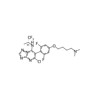 C[C@@H](Nc1c(-c2c(F)cc(OCCCCN(C)C)cc2F)c(Cl)nc2ncnn12)C(F)(F)F